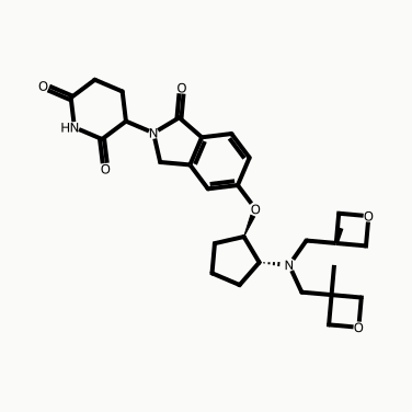 CC1(CN(CC2(C)COC2)[C@@H]2CCC[C@H]2Oc2ccc3c(c2)CN(C2CCC(=O)NC2=O)C3=O)COC1